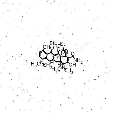 CCOCC.CN(C)c1ccc(O)c2c1C[C@H]1C[C@H]3[C@H](N(C)C)C(O)=C(C(N)=O)C(=O)[C@@]3(O)C(O)=C1C2=O